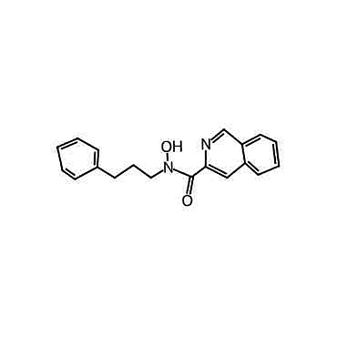 O=C(c1cc2ccccc2cn1)N(O)CCCc1ccccc1